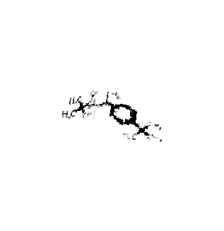 C[C@H](N[S@@+]([O-])C(C)(C)C)c1ccc(C(C)(C)C)cc1